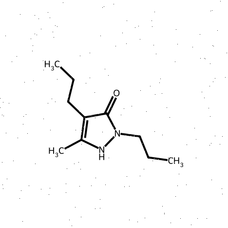 CCCc1c(C)[nH]n(CCC)c1=O